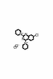 Clc1ccc2c(-[n+]3ccccc3)nc(-[n+]3ccccc3)nc2c1.[Cl-].[Cl-]